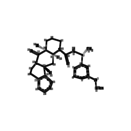 CCCCCCOc1cccc([C@@H](C)NC(=O)N2CCC[C@@H]3C(=O)N4CCc5ccccc5[C@H]4C[C@@H]32)c1